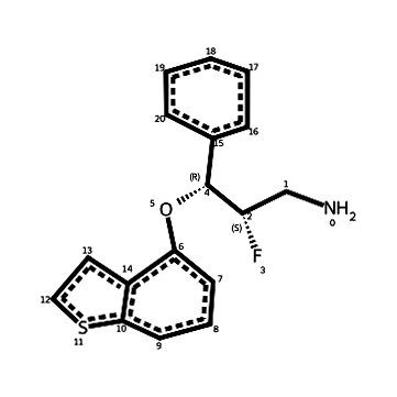 NC[C@H](F)[C@H](Oc1cccc2sccc12)c1ccccc1